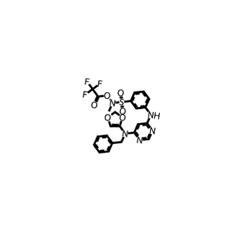 CN(OC(=O)C(F)(F)F)S(=O)(=O)c1cccc(Nc2cc(N(Cc3ccccc3)C3=COCO3)ncn2)c1